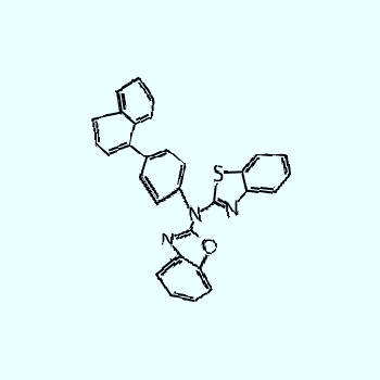 c1ccc2c(-c3ccc(N(c4nc5ccccc5o4)c4nc5ccccc5s4)cc3)cccc2c1